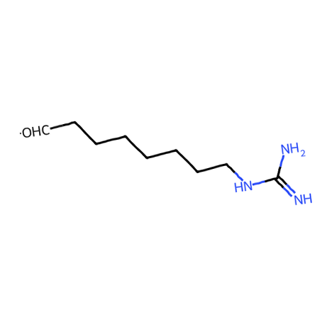 N=C(N)NCCCCCCC[C]=O